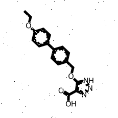 CCOc1ccc(-c2ccc(COc3[nH]nnc3C(=O)O)cc2)cc1